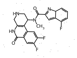 CN(C(=O)C1=NC2C=CC=C(F)C2=C1)C1CNCc2[nH]c(=O)c3cc(F)c(F)cc3c21